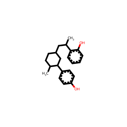 CC(CC1CCC(C)C(c2ccc(O)cc2)C1)c1ccccc1O